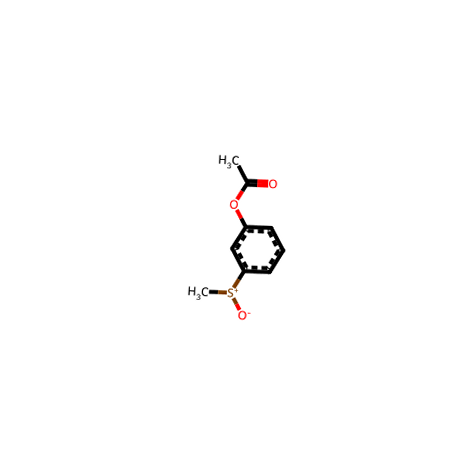 CC(=O)Oc1cccc([S+](C)[O-])c1